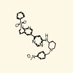 O=[N+]([O-])c1ccc(CN2CCCC(Nc3cc(-c4cnc5c(ccn5S(=O)(=O)c5ccccc5)c4)ncn3)C2)cc1